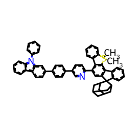 CS1(C)c2ccccc2-c2c(-c3ccc(-c4ccc(-c5ccc6c7ccccc7n(-c7ccccc7)c6c5)cc4)cn3)cc3c(c21)-c1ccccc1C31C2CC3CC(C2)CC1C3